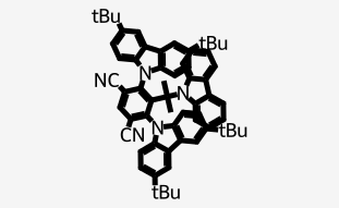 CC(C)(C)c1ccc2c(c1)c1cc(C(C)(C)C)ccc1n2-c1c(C#N)cc(C#N)c(-n2c3ccc(C(C)(C)C)cc3c3cc(C(C)(C)C)ccc32)c1C(C)(C)n1c2ccccc2c2ccccc21